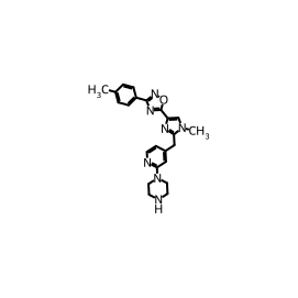 Cc1ccc(-c2noc(-c3cn(C)c(Cc4ccnc(N5CCNCC5)c4)n3)n2)cc1